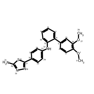 COc1ccc(-c2ccccc2Nc2ccc(-c3nnc(N)s3)cc2)cc1OC